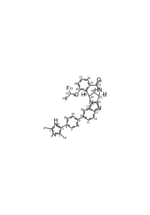 Cc1nc(C)c(-c2ccc(-c3ccc4nc5n(c4c3)[C@@H]3C[C@H]5NC(=O)c4cccc(OC(F)F)c43)cc2)[nH]1